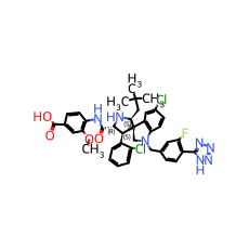 COc1cc(C(=O)O)ccc1NC(=O)[C@@H]1N[C@@H](CC(C)(C)C)[C@@]2(CN(Cc3ccc(-c4nnn[nH]4)c(F)c3)c3ccc(Cl)cc32)[C@H]1c1ccccc1Cl